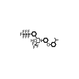 CC(C)c1cccc(Oc2cccc(N(CCc3cccc(C(F)(F)C(F)(F)C(F)(F)F)c3)CC(O)C(F)(F)F)c2)c1